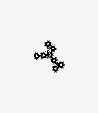 c1ccc(-c2ccc(-c3nc(-c4ccc(-n5c6ccccc6c6ccccc65)cc4)cc(-c4cccc5c4sc4ccccc45)n3)cc2)cc1